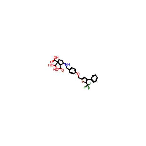 O=C(O)C1C(NCc2ccc(OCc3cc(-c4ccccc4)c(C(F)(F)F)s3)cc2)CCC1(C(=O)O)C(=O)O